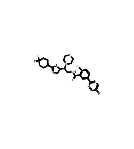 O=C(NCC(C1CN=C(C2CCC(F)(F)CC2)S1)N1CCOCC1)c1cc(-c2ncc(F)cn2)ccc1Cl